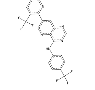 FC(F)(F)c1ccc(Nc2ncnc3cc(-c4ncccc4C(F)(F)F)cnc23)cc1